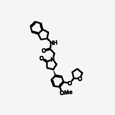 COc1ccc([C@@H]2CC(=O)N(CC(=O)NC3Cc4ccccc4C3)C2)cc1OC1CCCO1